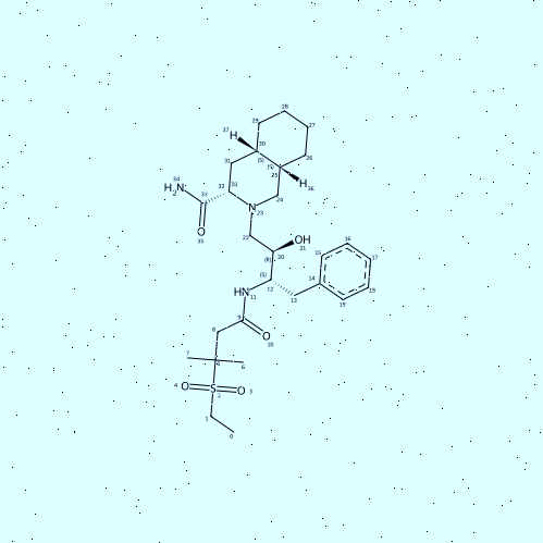 CCS(=O)(=O)C(C)(C)CC(=O)N[C@@H](Cc1ccccc1)[C@H](O)CN1C[C@H]2CCCC[C@H]2C[C@H]1C(N)=O